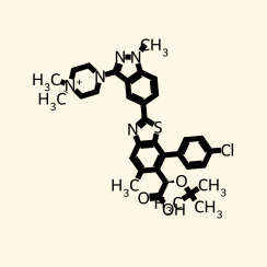 Cc1cc2nc(-c3ccc4c(c3)c(N3CC[N+](C)(C)CC3)nn4C)sc2c(-c2ccc(Cl)cc2)c1[C@H](OC(C)(C)C)C(=O)O